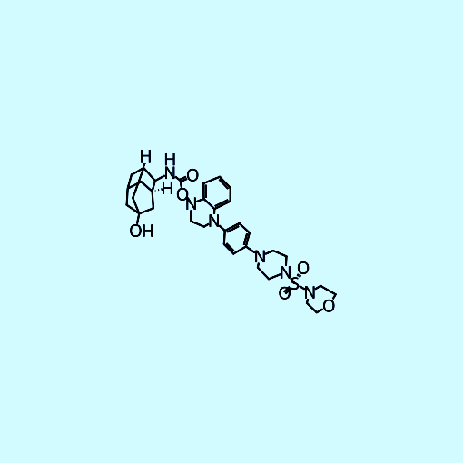 O=C(NC1[C@@H]2CC3C[C@H]1CC(O)(C3)C2)ON1CCN(c2ccc(N3CCN(S(=O)(=O)N4CCOCC4)CC3)cc2)c2ccccc21